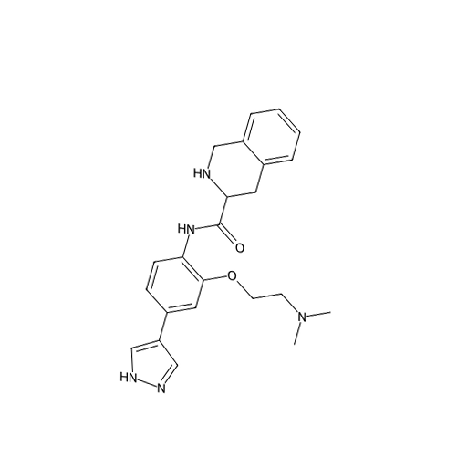 CN(C)CCOc1cc(-c2cn[nH]c2)ccc1NC(=O)C1Cc2ccccc2CN1